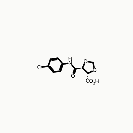 O=C(O)[C@H]1OCO[C@@H]1C(=O)Nc1ccc(Cl)cc1